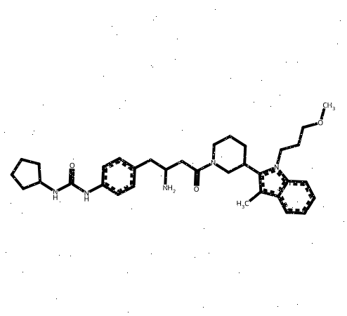 COCCCn1c(C2CCCN(C(=O)CC(N)Cc3ccc(NC(=O)NC4CCCC4)cc3)C2)c(C)c2ccccc21